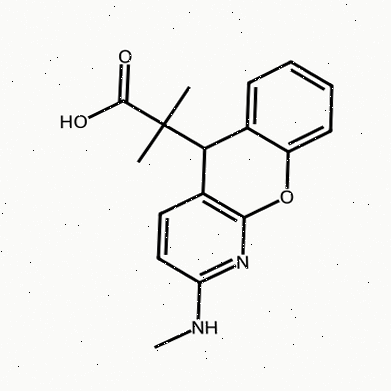 CNc1ccc2c(n1)Oc1ccccc1C2C(C)(C)C(=O)O